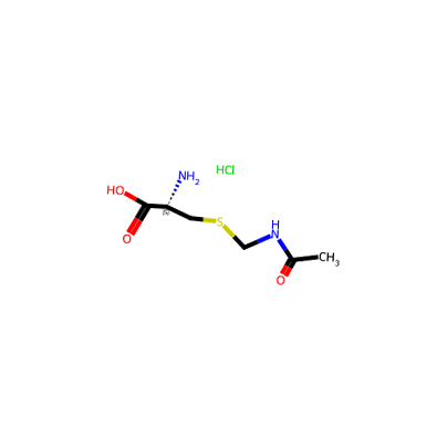 CC(=O)NCSC[C@@H](N)C(=O)O.Cl